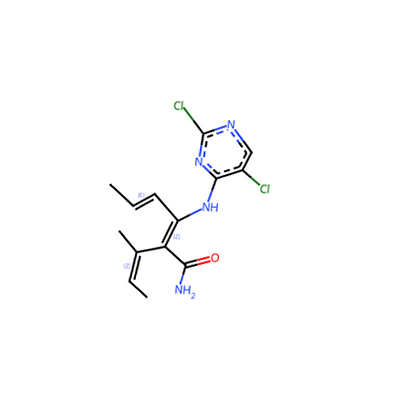 C\C=C(C)/C(C(N)=O)=C(\C=C\C)Nc1nc(Cl)ncc1Cl